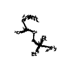 CCCCCC(=O)OCC(N)(CC)CC